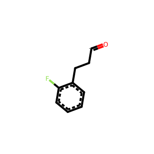 O=[C]CCc1ccccc1F